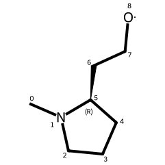 CN1CCC[C@@H]1CC[O]